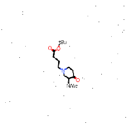 CNC1CN(CCCC(=O)OC(C)(C)C)CCC1=O